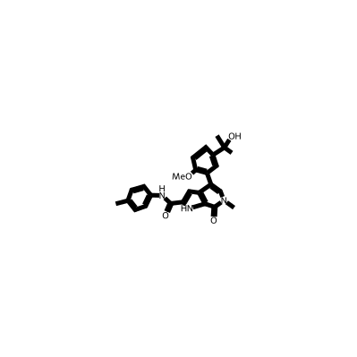 COc1ccc(C(C)(C)O)cc1-c1cn(C)c(=O)c2[nH]c(C(=O)Nc3ccc(C)cc3)cc12